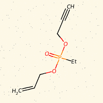 C#CCOP(=O)(CC)OCC=C